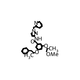 COC[C@H](C)Oc1cc(O[C@@H](C)Cc2ccccc2)cc(C(=O)Nc2ccn(Cc3ccccn3)n2)c1